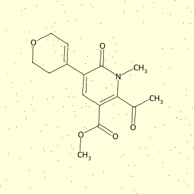 COC(=O)c1cc(C2=CCOCC2)c(=O)n(C)c1C(C)=O